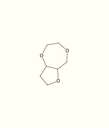 C1COC2CCOC2CO1